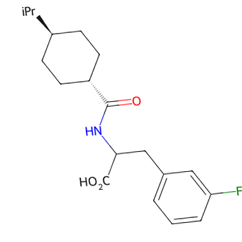 CC(C)[C@H]1CC[C@H](C(=O)NC(Cc2cccc(F)c2)C(=O)O)CC1